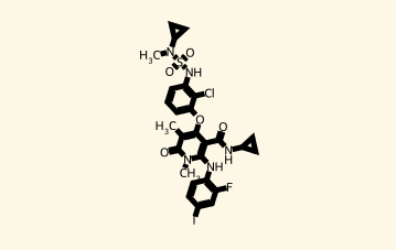 Cc1c(Oc2cccc(NS(=O)(=O)N(C)C3CC3)c2Cl)c(C(=O)NC2CC2)c(Nc2ccc(I)cc2F)n(C)c1=O